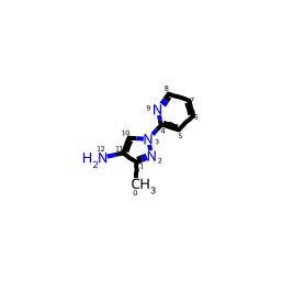 Cc1nn(-c2ccccn2)cc1N